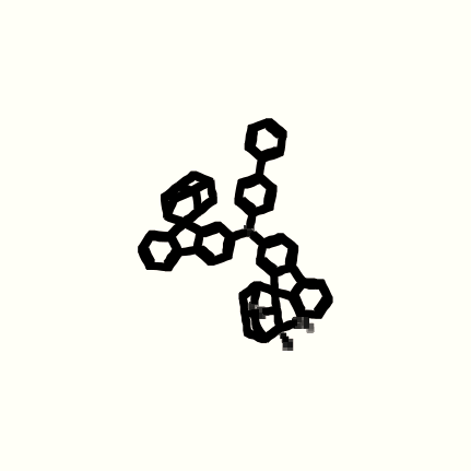 C[C@H]1C2CCC3CC(C2)CC1C31c2ccccc2-c2ccc(N(c3ccc(-c4ccccc4)cc3)c3ccc4c(c3)C3(c5ccccc5-4)C4CC5CC(C4)CC3C5)cc21